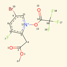 COC(=O)Cc1c(F)cc(Br)c[n+]1OC(=O)C(F)(F)F